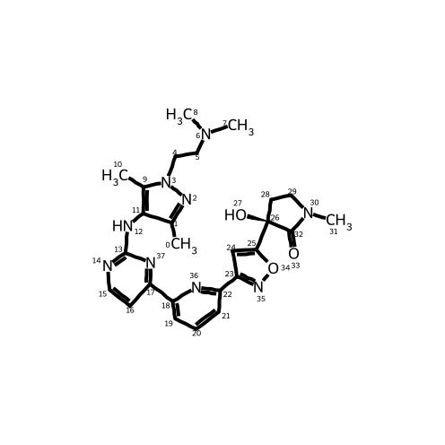 Cc1nn(CCN(C)C)c(C)c1Nc1nccc(-c2cccc(-c3cc([C@]4(O)CCN(C)C4=O)on3)n2)n1